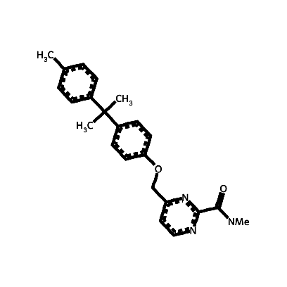 CNC(=O)c1nccc(COc2ccc(C(C)(C)c3ccc(C)cc3)cc2)n1